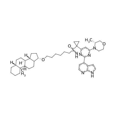 C[C@@H]1COCCN1c1cc(C2(S(=N)(=O)CCCCCCO[C@H]3CC[C@@H]4C3CC[C@H]3[C@H]4CC[C@H]4CCCC[C@@]43C)CC2)nc(-c2ccnc3[nH]ccc23)n1